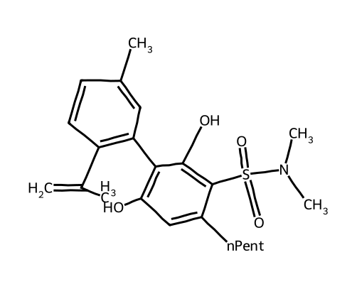 C=C(C)c1ccc(C)cc1-c1c(O)cc(CCCCC)c(S(=O)(=O)N(C)C)c1O